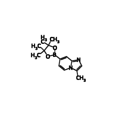 Cc1cnc2cc(B3OC(C)(C)C(C)(C)O3)ccn12